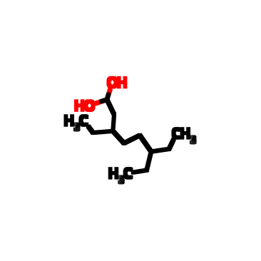 CCC(CC)CCC(CC)CC(O)O